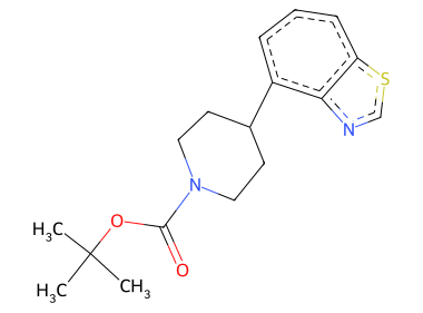 CC(C)(C)OC(=O)N1CCC(c2cccc3scnc23)CC1